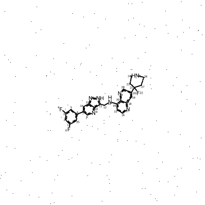 Fc1cc(F)cc(-c2cnc3c(CNc4ccnc5cc(C6(F)CCNCC6)cnc45)[nH]nc3c2)c1